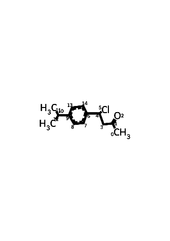 CC(=O)CC(Cl)c1ccc(C(C)C)cc1